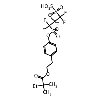 CCC(C)(C)C(=O)OCCc1ccc(OS(=O)(=O)C(F)(F)C(F)(F)C(F)(F)S(=O)(=O)S(=O)(=O)O)cc1